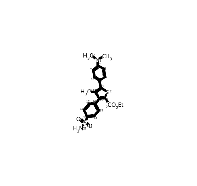 CCOC(=O)c1sc(-c2ccc(N(C)C)cc2)c(C)c1-c1ccc(S(N)(=O)=O)cc1